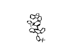 CC(C)(C)c1cccc(-c2c3ccccc3c(-c3cc4ccc5oc6ccccc6c5c4c4c3oc3ccccc34)c3ccccc23)c1